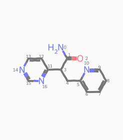 NC(=O)C(Cc1ccccn1)c1ccncn1